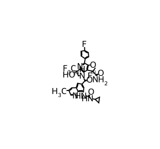 Cc1cnc2c(NC(=O)NC3CC3)cc(C(=O)NC[C@](O)(c3cc4c(c(-c5ccc(F)cc5)n3)OC[C@]4(F)C(N)=O)C(F)(F)F)cc2c1